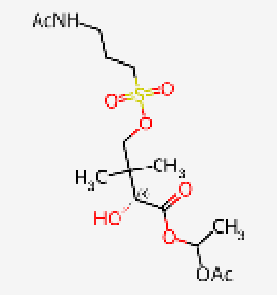 CC(=O)NCCCS(=O)(=O)OCC(C)(C)[C@@H](O)C(=O)OC(C)OC(C)=O